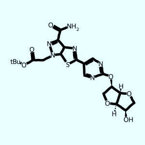 CC(C)(C)OC(=O)CN1N=C(C(N)=O)C2N=C(c3cnc(O[C@@H]4CO[C@H]5[C@@H]4OC[C@H]5O)nc3)SC21